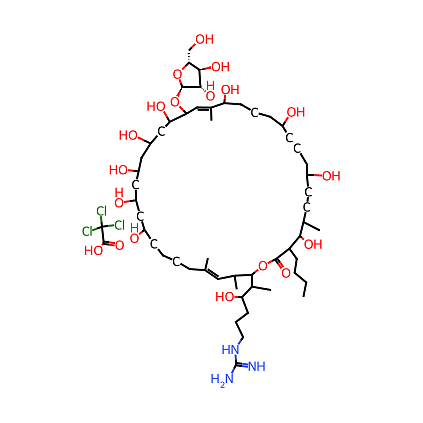 CCCCC1C(=O)OC(C(C)C(O)CCCNC(=N)N)C(C)/C=C(\C)CCCCC(O)CC(O)CC(O)CC(O)CC(O)C(O[C@H]2O[C@H](CO)[C@@H](O)[C@@H]2O)/C=C(\C)C(O)CCCC(O)CCCC(O)CCC(C)C1O.O=C(O)C(Cl)(Cl)Cl